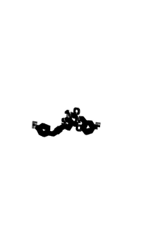 Cn1c(=O)n(Cc2cccc(F)c2)c(=O)c2cc(C#CCc3ccc(F)cc3)sc21